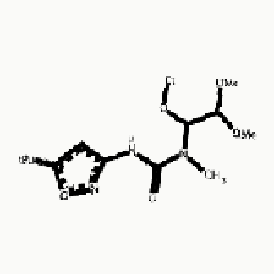 CCOC(C(OC)OC)N(C)C(=O)Nc1cc(C(C)(C)C)on1